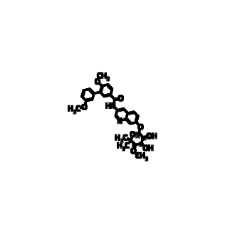 COc1cccc(-c2cc(C(=O)Nc3cnc4cc(O[C@@H]5OC(C)(C)[C@H](OC)[C@@H](O)[C@@H]5O)ccc4c3)ccc2OC)c1